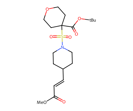 COC(=O)C=CC1CCN(S(=O)(=O)C2(C(=O)OC(C)(C)C)CCOCC2)CC1